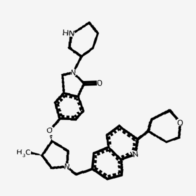 C[C@@H]1CN(Cc2ccc3nc(C4CCOCC4)ccc3c2)C[C@H]1Oc1ccc2c(c1)CN(C1CCCNC1)C2=O